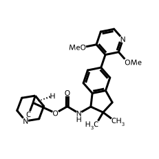 COc1ccnc(OC)c1-c1ccc2c(c1)CC(C)(C)C2NC(=O)O[C@H]1CN2CCC1CC2